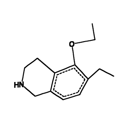 CCOc1c(CC)ccc2c1CCNC2